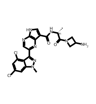 C[C@@H](NC(=O)c1c[nH]c2ncc(-c3nn(C)c4cc(Cl)cc(Cl)c34)nc12)C(=O)N1CC(N)C1